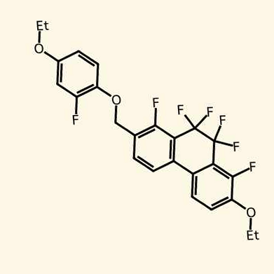 CCOc1ccc(OCc2ccc3c(c2F)C(F)(F)C(F)(F)c2c-3ccc(OCC)c2F)c(F)c1